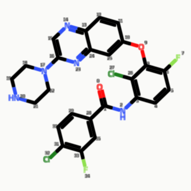 O=C(Nc1ccc(F)c(Oc2ccc3ncc(N4CCNCC4)nc3c2)c1Cl)c1ccc(Cl)c(F)c1